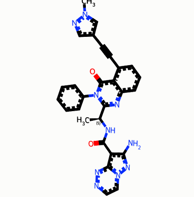 C[C@H](NC(=O)c1c(N)nn2ccnnc12)c1nc2cccc(C#Cc3cnn(C)c3)c2c(=O)n1-c1ccccc1